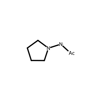 CC(=O)[N]N1CCCC1